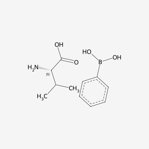 CC(C)[C@H](N)C(=O)O.OB(O)c1ccccc1